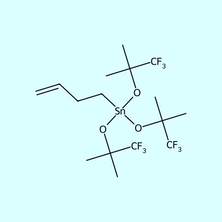 C=CC[CH2][Sn]([O]C(C)(C)C(F)(F)F)([O]C(C)(C)C(F)(F)F)[O]C(C)(C)C(F)(F)F